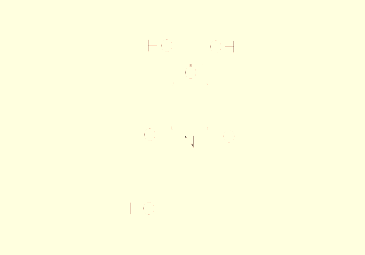 O=C1C2C3OC(C(O)C3O)C2C(=O)N1CCCO